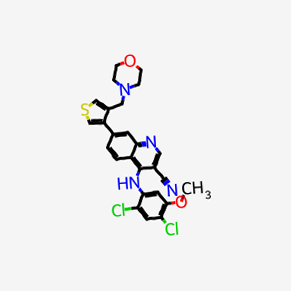 COc1cc(Nc2c(C#N)cnc3cc(-c4cscc4CN4CCOCC4)ccc23)c(Cl)cc1Cl